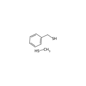 CS.SCc1ccccc1